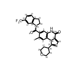 Cc1cc2c(cc1C(=O)N1CCc3ccc(C(F)(F)F)cc31)[nH]c(=O)c1cnc(C3CCOCC3)n12